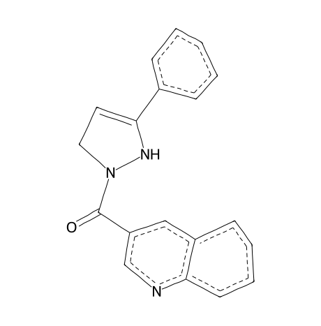 O=C(c1cnc2ccccc2c1)N1CC=C(c2ccccc2)N1